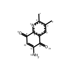 Cc1cc2c(nc1C)C(=O)C=C(N)C2=O